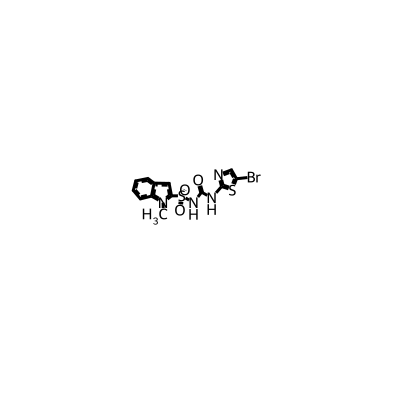 Cn1c(S(=O)(=O)NC(=O)Nc2ncc(Br)s2)cc2ccccc21